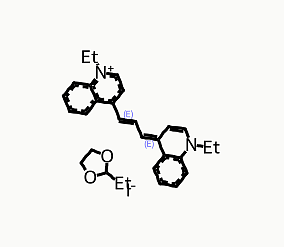 CCC1OCCO1.CCN1C=C/C(=C\C=C\c2cc[n+](CC)c3ccccc23)c2ccccc21.[I-]